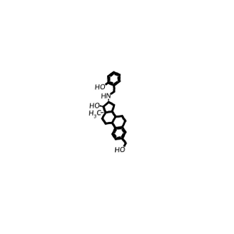 C[C@@]12CCC3c4ccc(CO)cc4CCC3C1C[C@@H](NCc1ccccc1O)[C@@H]2O